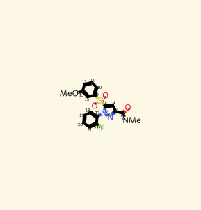 CNC(=O)c1cc(S(=O)(=O)c2cccc(OC)c2)n(-c2ccccc2F)n1